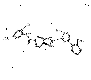 CCC(C)n1nc(C)cc1NC(=O)c1ccc2[nH]c(-c3cc(-c4cccnc4OC)ccc3O)nc2c1